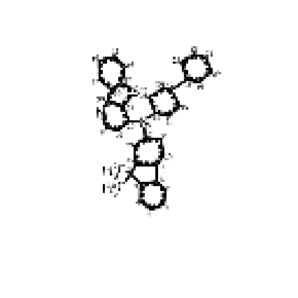 CC1(C)c2ccccc2-c2ccc(N(c3ccc(-c4ccccc4)cc3)c3ccnc4c3sc3ccccc34)cc21